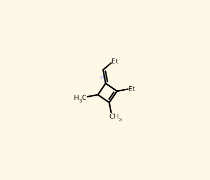 CC/C=C1\C(CC)=C(C)C1C